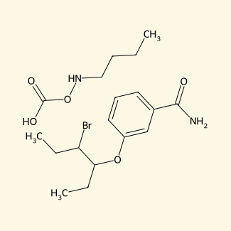 CCC(Br)C(CC)Oc1cccc(C(N)=O)c1.CCCCNOC(=O)O